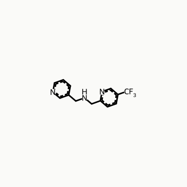 FC(F)(F)c1ccc(CNCc2cccnc2)nc1